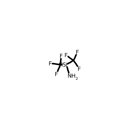 N[SiH](C(F)(F)F)C(F)(F)F